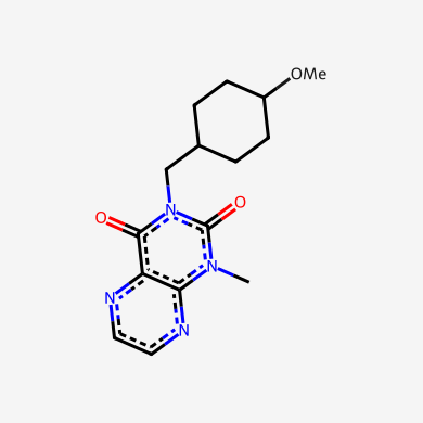 COC1CCC(Cn2c(=O)c3nccnc3n(C)c2=O)CC1